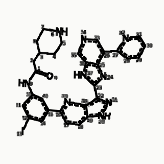 O=C(CC1CCNCC1)Nc1cc(I)cc(-c2ccc3[nH]nc(-c4nc5c(-c6ccccn6)cncc5[nH]4)c3n2)c1